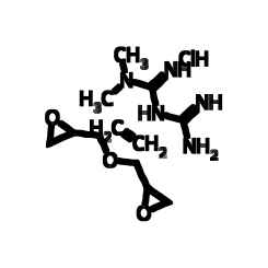 C(OCC1CO1)C1CO1.C=C.CN(C)C(=N)NC(=N)N.Cl